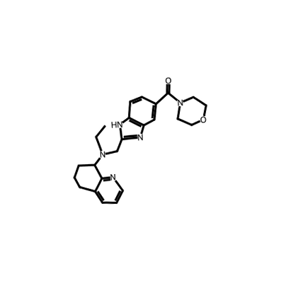 CCN(Cc1nc2cc(C(=O)N3CCOCC3)ccc2[nH]1)C1CCCc2cccnc21